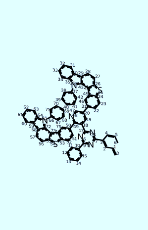 C=C/C=C(\C=C/C)c1nc(-c2ccccc2)nc(-c2cc(-c3ccc4sc5ccc6c7ccccc7n(-c7ccccc7)c6c5c4c3)cnc2-c2ccc3sc4ccc5c6ccccc6n(-c6ccccc6)c5c4c3c2)n1